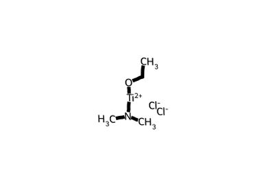 CC[O][Ti+2][N](C)C.[Cl-].[Cl-]